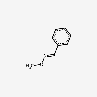 CON=Cc1[c]cccc1